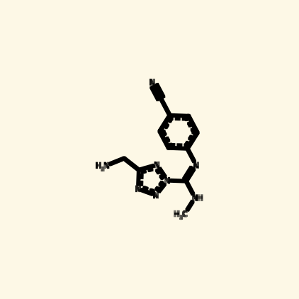 CNC(=Nc1ccc(C#N)cc1)n1nnc(CN)n1